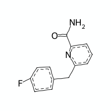 NC(=O)c1cccc(Cc2ccc(F)cc2)n1